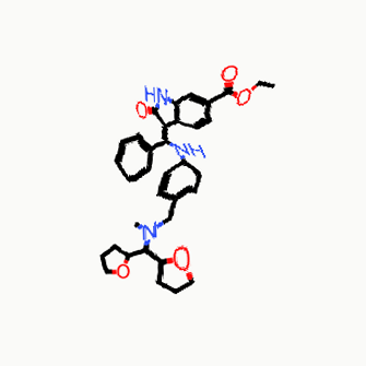 CCOC(=O)c1ccc2c(c1)NC(=O)/C2=C(/Nc1ccc(CN(C)C(C2CCCO2)C2CCCO2)cc1)c1ccccc1